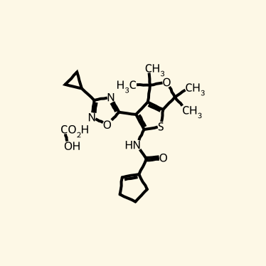 CC1(C)OC(C)(C)c2c1sc(NC(=O)C1=CCCC1)c2-c1nc(C2CC2)no1.O=C(O)O